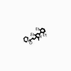 CCc1cc(-c2c(CC)cccc2CC)nc(C)c1C=CC(=O)N1CCCCC1